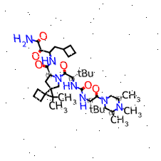 C[C@H]1CN(C(=O)[C@@H](NC(=O)N[C@H](C(=O)N2CC3(C[C@H]2C(=O)NC(CC2CCC2)C(=O)C(N)=O)C(C)(C)C32CCC2)C(C)(C)C)C(C)(C)C)C[C@H](C)N1C